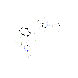 O=C(O[C@H]1c2c(C(F)(F)F)nn(C3CCCCO3)c2C[C@@H]1F)c1ccccc1[C@H]1c2c(C(F)(F)F)nn(C3CCCCO3)c2C[C@@H]1F